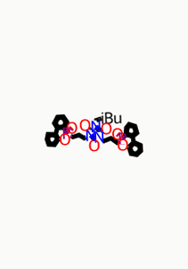 CCC(C)Cn1c(=O)n(CCCP2(=O)Oc3ccccc3-c3ccccc32)c(=O)n(CCCP2(=O)Oc3ccccc3-c3ccccc32)c1=O